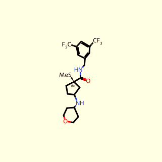 CS[C@]1(C(=O)NCc2cc(C(F)(F)F)cc(C(F)(F)F)c2)CCC(NC2CCOCC2)C1